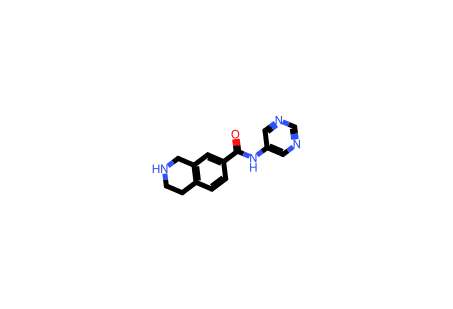 O=C(Nc1cncnc1)c1ccc2c(c1)CNCC2